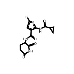 O=C1CCC(NC(=O)c2cc(Cl)sc2NC(=O)C2CC2)C(=O)N1